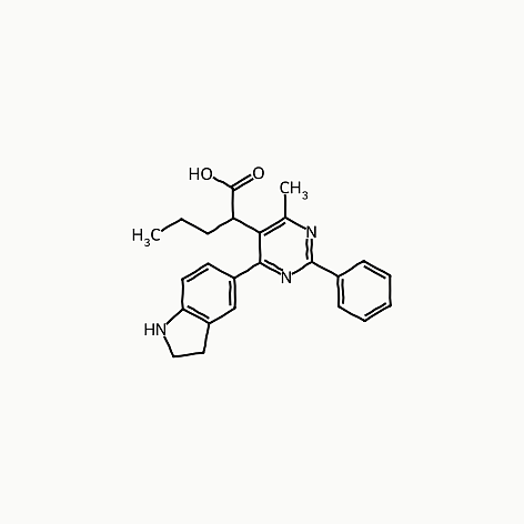 CCCC(C(=O)O)c1c(C)nc(-c2ccccc2)nc1-c1ccc2c(c1)CCN2